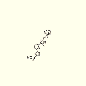 Cc1nc(COc2ncccn2)sc1-c1cccc(-c2csc(C(=O)O)c2)n1